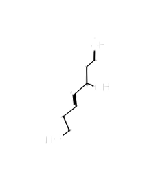 OCCC=CC(O)CCO